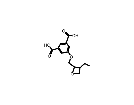 CCC1COC1COc1cc(C(=O)O)cc(C(=O)O)c1